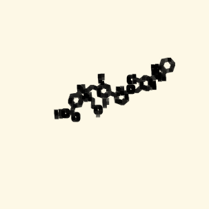 COCCn1c(Cc2cc(F)c(-c3cccc(OCc4cnc(-n5nc6c(n5)CCCC6)cc4Cl)n3)cc2F)nc2ccc(C(=O)O)cc21